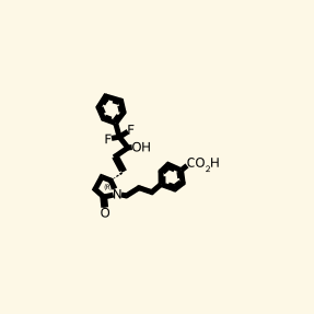 O=C(O)c1ccc(CCCN2C(=O)CC[C@@H]2C=CC(O)C(F)(F)c2ccccc2)cc1